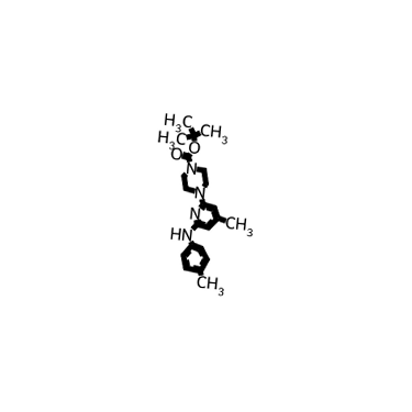 Cc1ccc(Nc2cc(C)cc(N3CCN(C(=O)OC(C)(C)C)CC3)n2)cc1